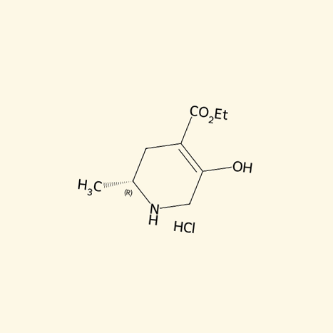 CCOC(=O)C1=C(O)CN[C@H](C)C1.Cl